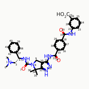 CN(C)C[C@@H](NC(=O)N1Cc2c(NC(=O)c3ccc(C(=O)Nc4cccc(C(=O)O)c4)cc3)n[nH]c2C1(C)C)c1ccccc1